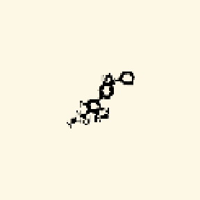 N#CNC(=O)c1c(F)cc(-c2ccc3c(c2)ncn3C2CCCCC2)c2nc[nH]c12